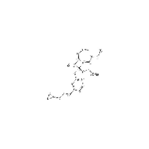 COCO[C@@]1(Cc2cc(OCCC3CC3)ccn2)C(=O)N(COC)[C@H]1CCSC(C)=O